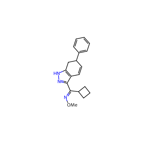 CO/N=C(/c1n[nH]c2c1C=CC(c1ccccc1)C2)C1CCC1